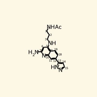 CC(=O)NCCCNc1cc(N)nc2cc(-c3ccn[nH]3)ccc12